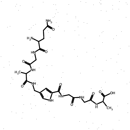 CC(NC(=O)CNC(=O)CNC(=O)c1cc(CNC(=O)C(C)NC(=O)CNC(=O)C(N)CCC(N)=O)c[nH]1)C(=O)O